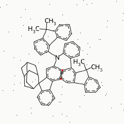 CC1(C)c2ccccc2-c2c(N(c3ccc4c(c3)C3(c5ccccc5-4)C4CC5CC(C4)CC3C5)c3ccccc3-c3cccc4c3C(C)(C)c3ccccc3-4)cccc21